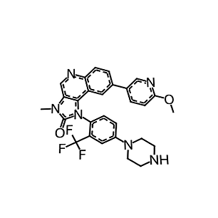 COc1ccc(-c2ccc3ncc4c(c3c2)n(-c2ccc(N3CCNCC3)cc2C(F)(F)F)c(=O)n4C)cn1